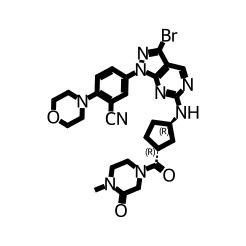 CN1CCN(C(=O)[C@@H]2CC[C@@H](Nc3ncc4c(Br)nn(-c5ccc(N6CCOCC6)c(C#N)c5)c4n3)C2)CC1=O